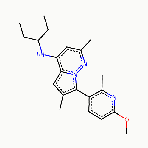 CCC(CC)Nc1cc(C)nn2c(-c3ccc(OC)nc3C)c(C)cc12